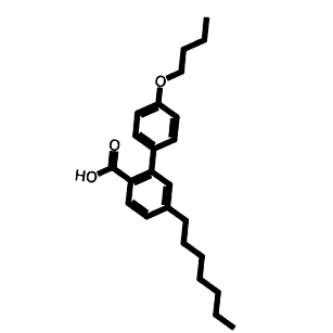 CCCCCCCc1ccc(C(=O)O)c(-c2ccc(OCCCC)cc2)c1